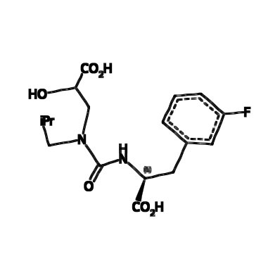 CC(C)CN(CC(O)C(=O)O)C(=O)N[C@@H](Cc1cccc(F)c1)C(=O)O